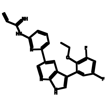 C=CC(=N)Nc1cccc(-c2cnc3[nH]cc(-c4cc(F)cc(F)c4OCC)c3c2)n1